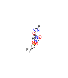 O=C1CCN(S(=O)(=O)c2ccc(C(F)(F)F)cc2)C[C@H]2C[C@H](Oc3cnc(C4CC4)cn3)CN12